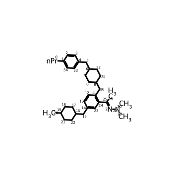 CCCc1ccc(CC2CCC(Cc3ccc(CC4CCC(C)CC4)cc3/C(C)=N/N(C)C)CC2)cc1